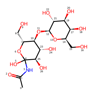 CC(=O)NC1(O)O[C@H](CO)[C@@H](O[C@@H]2O[C@H](CO)[C@H](O)[C@H](O)[C@H]2O)[C@H](O)[C@H]1O